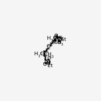 CCN1CC(=O)N(CCCC(C)(C)CCCCOCCCCC(C)(C)N2C(=O)CN(CC)C2=O)C1=O